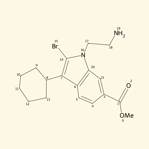 COC(=O)c1ccc2c(C3CCCCC3)c(Br)n(CCN)c2c1